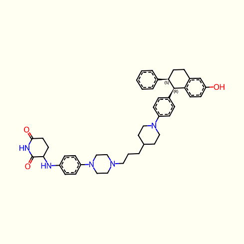 O=C1CCC(Nc2ccc(N3CCN(CCCC4CCN(c5ccc([C@@H]6c7ccc(O)cc7CC[C@@H]6c6ccccc6)cc5)CC4)CC3)cc2)C(=O)N1